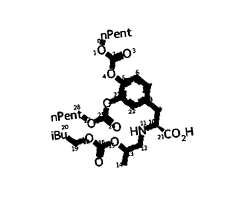 CCCCCOC(=O)Oc1ccc(C[C@H](NCC(C)OC(=O)OCC(C)CC)C(=O)O)cc1OC(=O)OCCCCC